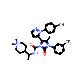 Cc1c(-c2ccnn2-c2ccc(C#N)cc2)n(C(=O)NC(C)C2CC[N+](C)(C)CC2)c(=O)n1-c1cccc(C(F)(F)F)c1